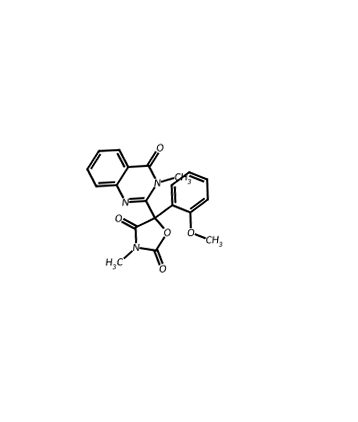 COc1ccccc1C1(c2nc3ccccc3c(=O)n2C)OC(=O)N(C)C1=O